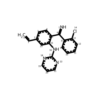 C=Cc1ccc(C(=N)c2ccccc2Cl)c(Nc2ncccn2)c1